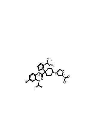 CC(C)c1ccnn1C1(C(=O)Nc2ccc(Cl)cc2OC(F)F)CCN([C@@H]2CO[C@@H](C(=O)O)C2)CC1